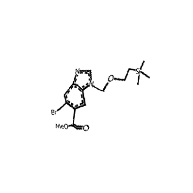 COC(=O)c1cc2c(cc1Br)ncn2COCC[Si](C)(C)C